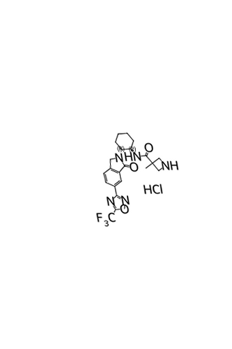 CC1(C(=O)N[C@@H]2CCCC[C@H]2N2Cc3ccc(-c4noc(C(F)(F)F)n4)cc3C2=O)CNC1.Cl